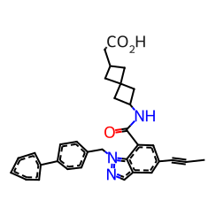 CC#Cc1cc(C(=O)NC2CC3(CC(CC(=O)O)C3)C2)c2c(cnn2Cc2ccc(-c3ccccc3)cc2)c1